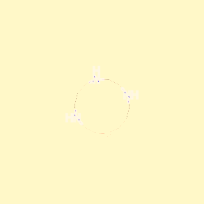 C1CNCCNCCCOCCNC1